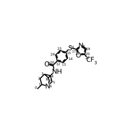 CC1CC2CCN1CC2NC(=O)c1ccc(Sc2ncc(C(F)(F)F)o2)cc1